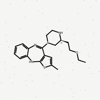 CCOCC[C@H]1CN(C2=Nc3ccccc3Nc3sc(C)cc32)CCN1